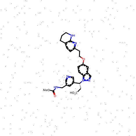 COC(=O)NCc1cncc([C@@H](CC(=O)O)n2ncc3cc(OCCc4ccc5c(n4)NCCC5)ccc32)c1